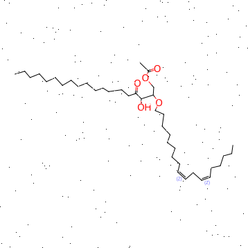 CCCCC/C=C\C/C=C\CCCCCCCCOC(COC(C)=O)C(O)C(=O)CCCCCCCCCCCCCCC